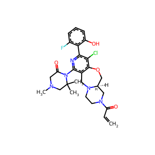 C=CC(=O)N1CCN2Cc3c(N4C(=O)CN(C)CC4(C)C)nc(-c4c(O)cccc4F)c(Cl)c3OC[C@H]2C1